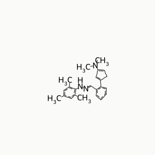 Cc1cc(C)c(NN=Cc2ccccc2C2=CC(N(C)C)=CC2)c(C)c1